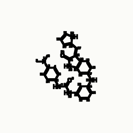 CN(C)c1ccc(NC(=O)Nc2cccc(Nc3ccc4c(c3)NC(=O)C4=Cc3ccc[nH]3)c2)cc1